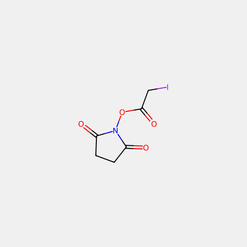 O=C(CI)ON1C(=O)CCC1=O